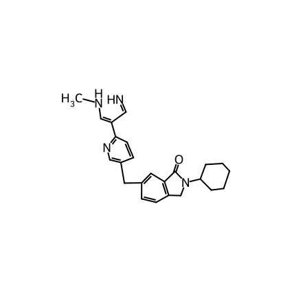 CN/C=C(\C=N)c1ccc(Cc2ccc3c(c2)C(=O)N(C2CCCCC2)C3)cn1